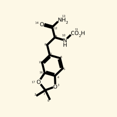 CC1(C)Oc2ccc(CC(NC(=O)O)C(N)=O)cc2O1